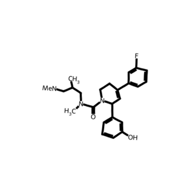 CNCC(C)CN(C)C(=O)N1CCC(c2cccc(F)c2)=CC1c1cccc(O)c1